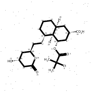 CCC(C)(C)C(=O)O[C@H]1C[C@@H](C(=O)O)C[C@@H]2CCC[C@@H](CC[C@@H]3C[C@@H](O)CC(=O)O3)[C@@H]21